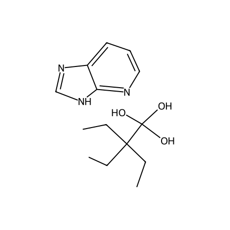 CCC(CC)(CC)C(O)(O)O.c1cnc2[nH]cnc2c1